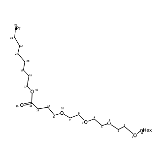 CCCCCCOCCOCCOCCOCCCC(=O)OCCCCCCCC(C)C